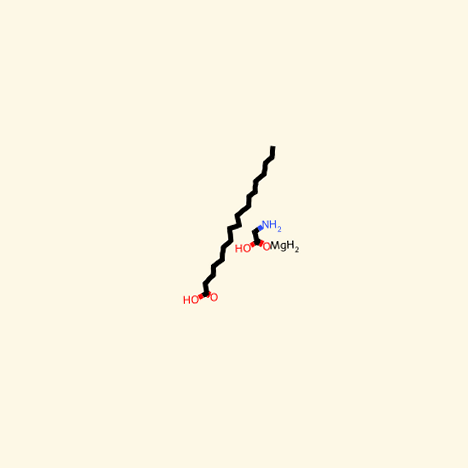 CCCCCCCCCCCCCCCCCC(=O)O.NCC(=O)O.[MgH2]